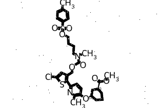 COC(=O)[C@H]1CCC[C@H](Oc2ccc(-c3sc(Cl)cc3COC(=O)N(C)CCCCOS(=O)(=O)c3ccc(C)cc3)nc2C)C1